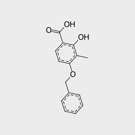 Cc1c(OCc2ccccc2)ccc(C(=O)O)c1O